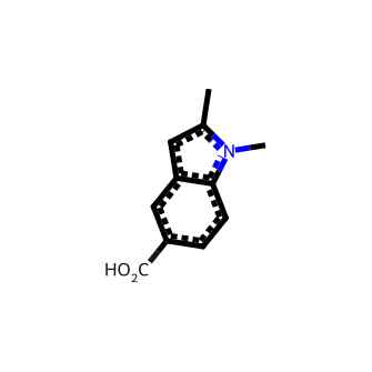 Cc1cc2cc(C(=O)O)ccc2n1C